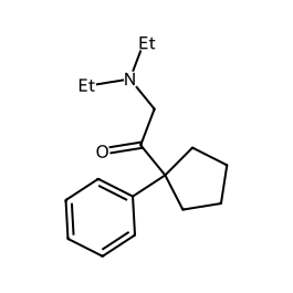 CCN(CC)CC(=O)C1(c2ccccc2)CCCC1